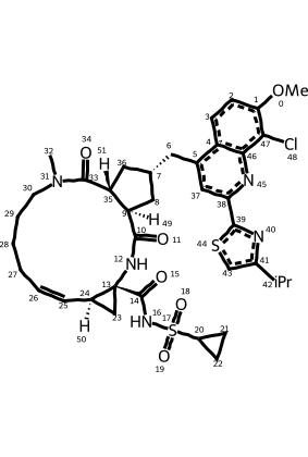 COc1ccc2c(C[C@@H]3C[C@H]4C(=O)N[C@]5(C(=O)NS(=O)(=O)C6CC6)C[C@H]5/C=C\CCCCN(C)C(=O)[C@@H]4C3)cc(-c3nc(C(C)C)cs3)nc2c1Cl